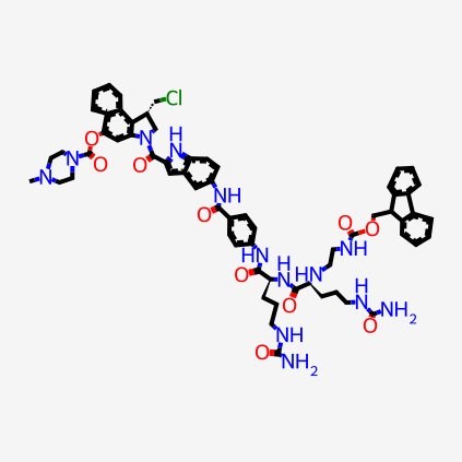 CN1CCN(C(=O)Oc2cc3c(c4ccccc24)[C@H](CCl)CN3C(=O)c2cc3cc(NC(=O)c4ccc(NC(=O)[C@H](CCCNC(N)=O)NC(=O)[C@H](CCCNC(N)=O)NCCNC(=O)OCC5c6ccccc6-c6ccccc65)cc4)ccc3[nH]2)CC1